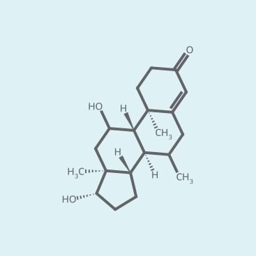 CC1CC2=CC(=O)CC[C@]2(C)[C@H]2C(O)C[C@]3(C)[C@@H](O)CC[C@H]3[C@H]12